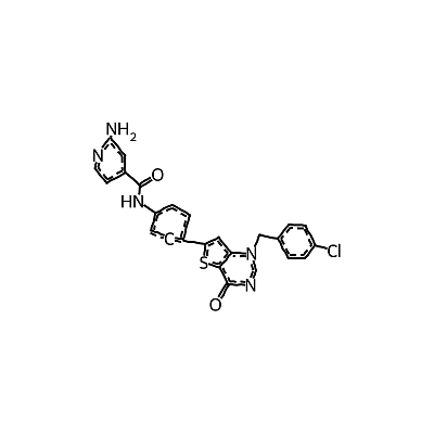 Nc1cc(C(=O)Nc2ccc(-c3cc4c(s3)c(=O)ncn4Cc3ccc(Cl)cc3)cc2)ccn1